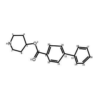 O=C(OC1CC[N]CC1)c1ccc(-c2ccccc2)cc1